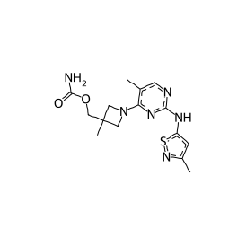 Cc1cc(Nc2ncc(C)c(N3CC(C)(COC(N)=O)C3)n2)sn1